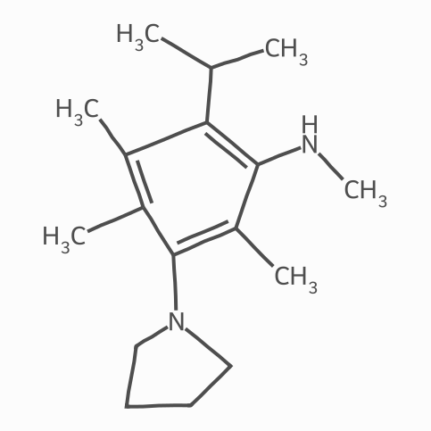 CNc1c(C)c(N2CCCC2)c(C)c(C)c1C(C)C